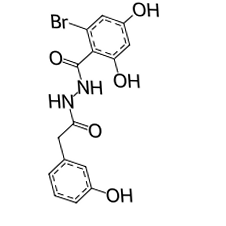 O=C(Cc1cccc(O)c1)NNC(=O)c1c(O)cc(O)cc1Br